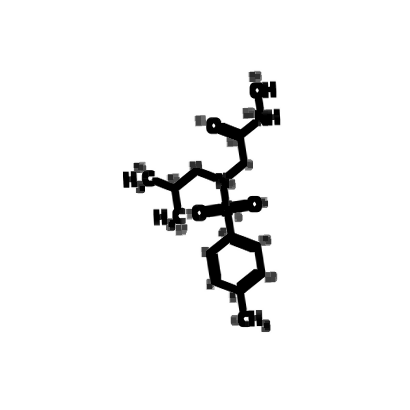 Cc1ccc(S(=O)(=O)N(CC(=O)NO)CC(C)C)cc1